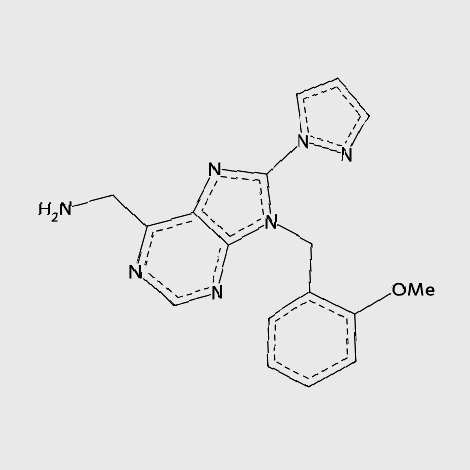 COc1ccccc1Cn1c(-n2cccn2)nc2c(CN)ncnc21